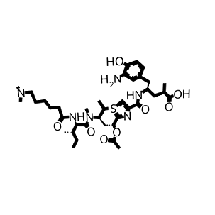 CC[C@H](C)[C@H](NC(=O)CCCCCN(C)C)C(=O)N(C)[C@H](C[C@@H](OC(C)=O)c1nc(C(=O)N[C@@H](Cc2ccc(O)c(N)c2)CC(C)C(=O)O)cs1)C(C)C